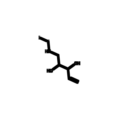 C=CC(O)C(O)CNSI